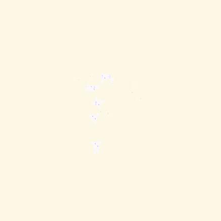 CCOC(=O)CC[N+]1(c2ccc(C(=O)OCC)cc2C(=N)N)CCN(C2CCNCC2)C1=O